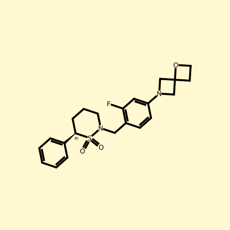 O=S1(=O)[C@@H](c2ccccc2)CCCN1Cc1ccc(N2CC3(CCO3)C2)cc1F